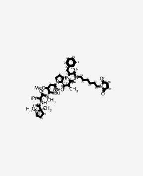 CCC(C)C(C(CC(=O)N1CCC[C@H]1C(OC)C(C)C(=O)NC(Cc1ccccc1)C(=O)NCCCCCCN1C(=O)C=CC1=O)OC)N(C)C(=O)C(NC(=O)[C@@]1(C)CCCN1C)C(C)C